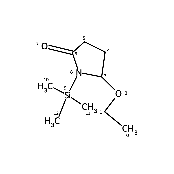 CCOC1CCC(=O)N1[Si](C)(C)C